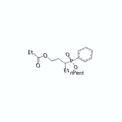 CCCCCOP(=O)(c1ccccc1)C(CC)CCOC(=O)CC